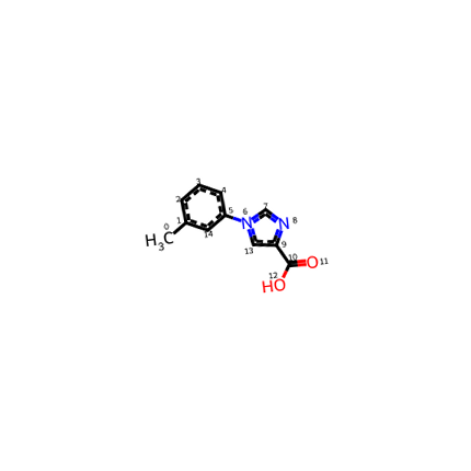 Cc1cccc(-n2cnc(C(=O)O)c2)c1